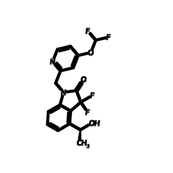 C[C@H](O)c1cccc2c1C(F)(F)C(=O)N2Cc1cc(OC(F)F)ccn1